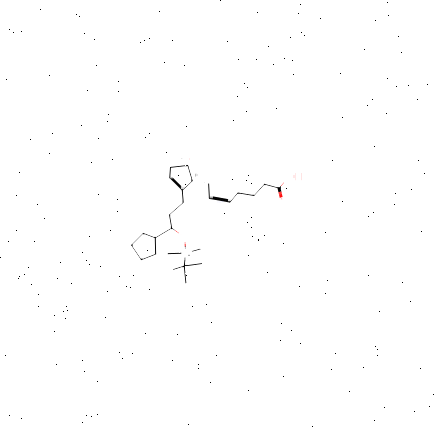 CC(C)(C)[Si](C)(C)OC(CCC1=CC[C@H](O)[C@@H]1C/C=C\CCCC(=O)O)C1CCCC1